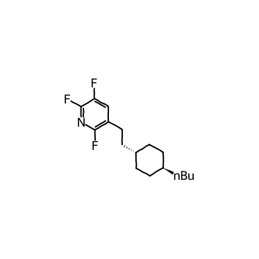 CCCC[C@H]1CC[C@H](CCc2cc(F)c(F)nc2F)CC1